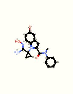 CN(C(=O)c1cc2cc(Br)ccc2n1C1(C(N)=NO)CC1)c1ccccc1